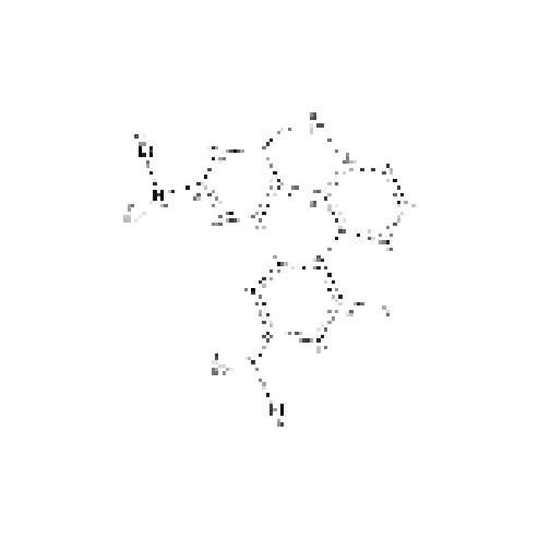 CCc1cccc(-c2ccc(N(CC)CC)cc2C)c1-c1ccc(N(CC)CC)cc1C